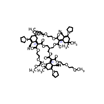 COCCOCCOC(=O)/C(C(=O)OCC(COC(=O)/C(C(=O)OCCOCCOC)=C1\CC(C)(C)CC(N2CCCC2)=C1C#N)COC(=O)/C(C(=O)OCCOCCOC)=C1\CC(C)(C)CC(N2CCCC2)=C1C#N)=C1/CC(C)(C)CC(N2CCCC2)=C1C#N